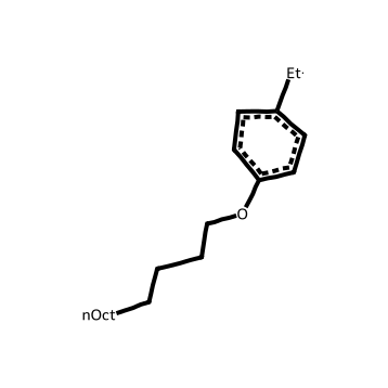 C[CH]c1ccc(OCCCCCCCCCCCC)cc1